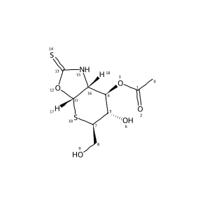 CC(=O)O[C@H]1[C@H](O)[C@@H](CO)S[C@@H]2OC(=S)N[C@H]12